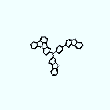 c1ccc2c(c1)oc1cc(N(c3ccc(-c4ccc5sc6ccccc6c5c4)cc3)c3ccc4c(c3)c3cccc5c6ccccc6n4c53)ccc12